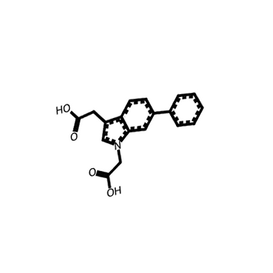 O=C(O)Cc1cn(CC(=O)O)c2cc(-c3ccccc3)ccc12